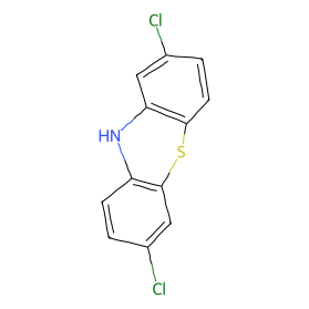 Clc1ccc2c(c1)Nc1ccc(Cl)cc1S2